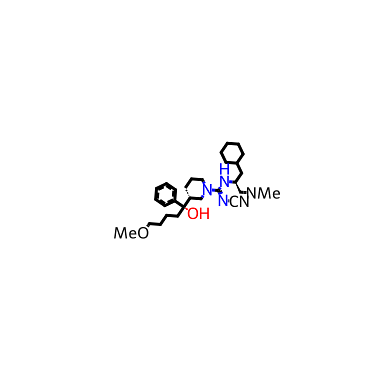 CNC[C@H](CC1CCCCC1)N/C(=N\C#N)N1CCC[C@@H]([C@@](O)(CCCCOC)c2ccccc2)C1